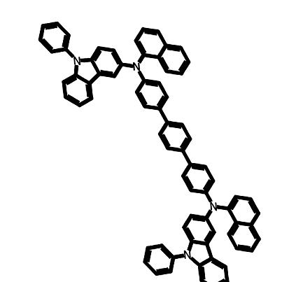 c1ccc(-n2c3ccccc3c3cc(N(c4ccc(-c5ccc(-c6ccc(N(c7ccc8c(c7)c7ccccc7n8-c7ccccc7)c7cccc8ccccc78)cc6)cc5)cc4)c4cccc5ccccc45)ccc32)cc1